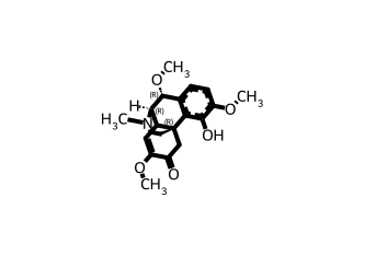 COC1=CC2[C@@H]3[C@H](OC)c4ccc(OC)c(O)c4[C@]2(CCN3C)CC1=O